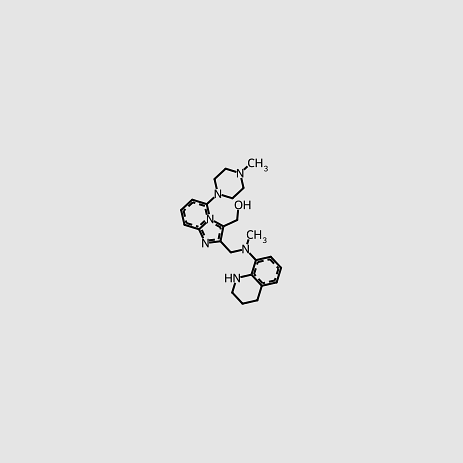 CN1CCN(c2cccc3nc(CN(C)c4cccc5c4NCCC5)c(CO)n23)CC1